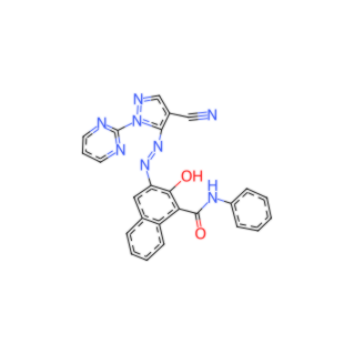 N#Cc1cnn(-c2ncccn2)c1/N=N/c1cc2ccccc2c(C(=O)Nc2ccccc2)c1O